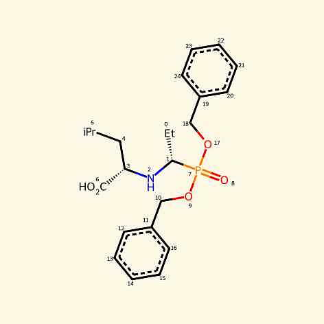 CC[C@@H](N[C@@H](CC(C)C)C(=O)O)P(=O)(OCc1ccccc1)OCc1ccccc1